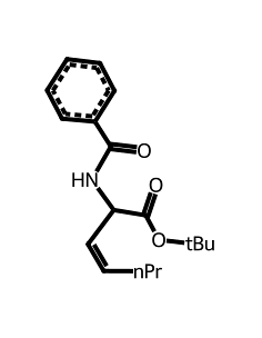 CCC/C=C\C(NC(=O)c1ccccc1)C(=O)OC(C)(C)C